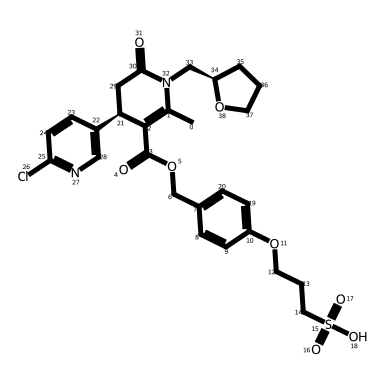 CC1=C(C(=O)OCc2ccc(OCCCS(=O)(=O)O)cc2)[C@@H](c2ccc(Cl)nc2)CC(=O)N1C[C@H]1CCCO1